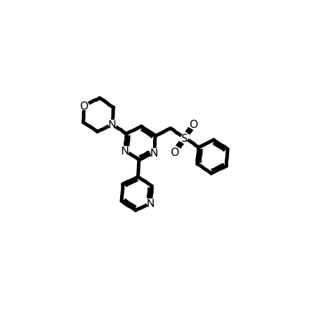 O=S(=O)(Cc1cc(N2CCOCC2)nc(-c2cccnc2)n1)c1ccccc1